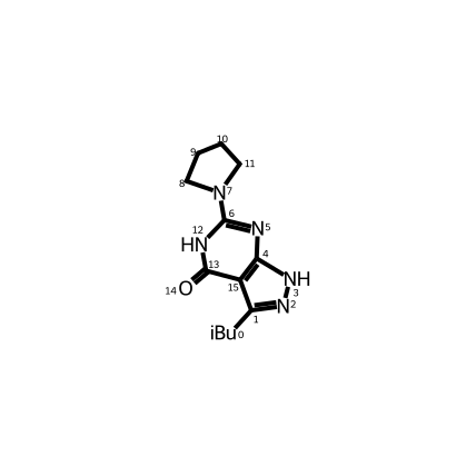 CCC(C)c1n[nH]c2nc(N3CCCC3)[nH]c(=O)c12